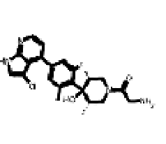 Cc1cc(-c2ccnc3[nH]cc(Cl)c23)cc(F)c1C1(O)[C@H](C)CN(C(=O)CN)C[C@@H]1C